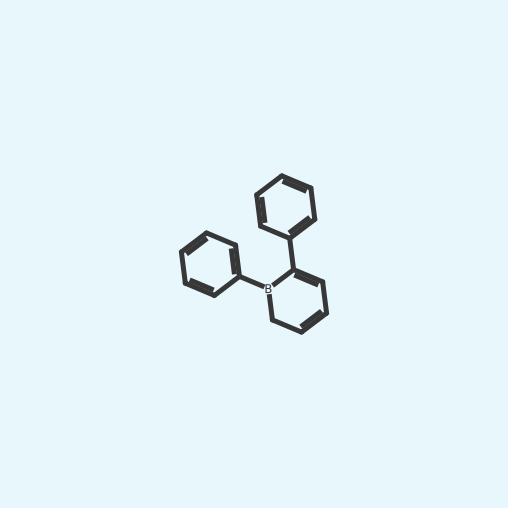 C1=CCB(c2ccccc2)C(c2ccccc2)=C1